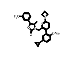 COc1ccc(C2CC2)cc1-c1ccc(N2CCC2)nc1CN1C(=O)OC(c2cccc(C(F)(F)F)c2)C1C